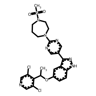 CC(Oc1ccc2[nH]nc(-c3cnc(N4CCCN(S(C)(=O)=O)CC4)nc3)c2c1)c1c(Cl)cncc1Cl